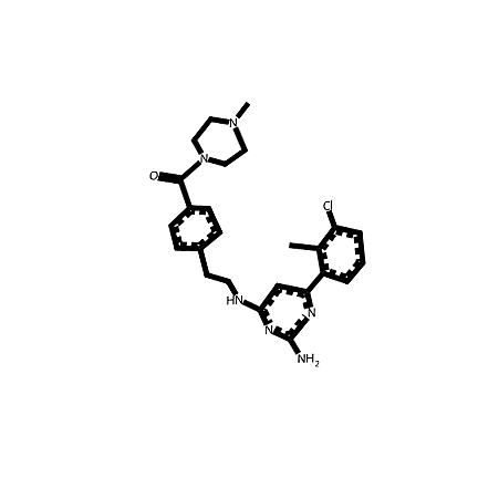 Cc1c(Cl)cccc1-c1cc(NCCc2ccc(C(=O)N3CCN(C)CC3)cc2)nc(N)n1